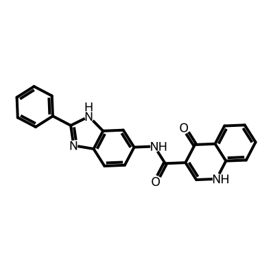 O=C(Nc1ccc2nc(-c3ccccc3)[nH]c2c1)c1c[nH]c2ccccc2c1=O